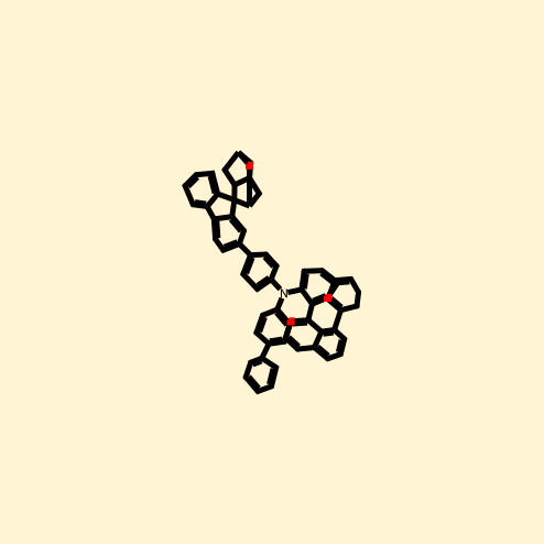 C1=CCCC(c2cccc3cccc(-c4ccccc4N(c4ccc(-c5ccccc5)cc4)c4ccc(-c5ccc6c(c5)C5(c7ccccc7-6)C6CC7CC(C6)C5C7)cc4)c23)=C1